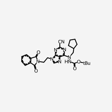 CC(C)(C)OC(=O)NN(CC1CCCC1)c1nc(C#N)nc2c1ncn2CCN1C(=O)c2ccccc2C1=O